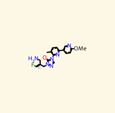 COc1ccc(-c2ccc(C)c(-n3cnn(C/C(=C/F)CN)c3=O)n2)cn1